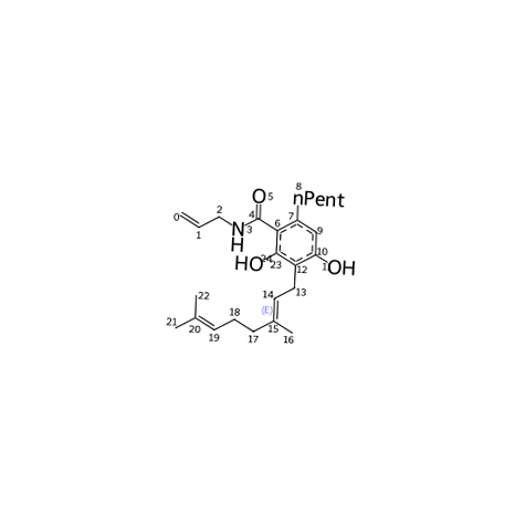 C=CCNC(=O)c1c(CCCCC)cc(O)c(C/C=C(\C)CCC=C(C)C)c1O